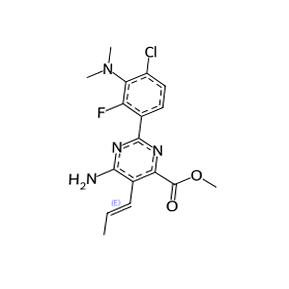 C/C=C/c1c(N)nc(-c2ccc(Cl)c(N(C)C)c2F)nc1C(=O)OC